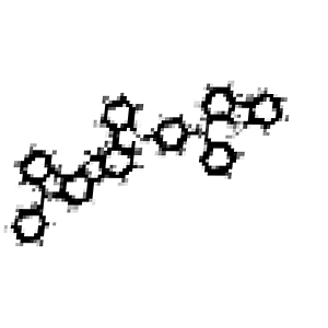 c1ccc(N(c2ccc(-n3c4ccccc4c4c5oc6c(ccc7c6c6ccccc6n7-c6ccccc6)c5ccc43)cc2)c2cccc3c2sc2ccccc23)cc1